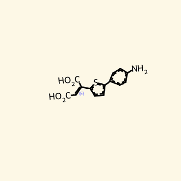 Nc1ccc(-c2ccc(/C(=C/C(=O)O)C(=O)O)s2)cc1